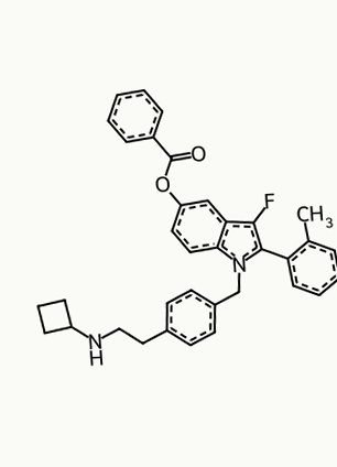 Cc1ccccc1-c1c(F)c2cc(OC(=O)c3ccccc3)ccc2n1Cc1ccc(CCNC2CCC2)cc1